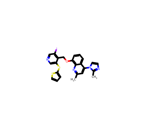 Cc1cc(-n2ccnc2C)c2cccc(OCc3c(I)cncc3Sc3cccs3)c2n1